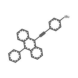 CC(C)(C)c1ccc(C#Cc2c3ccccc3c(-c3ccccc3)c3ccccc23)cc1